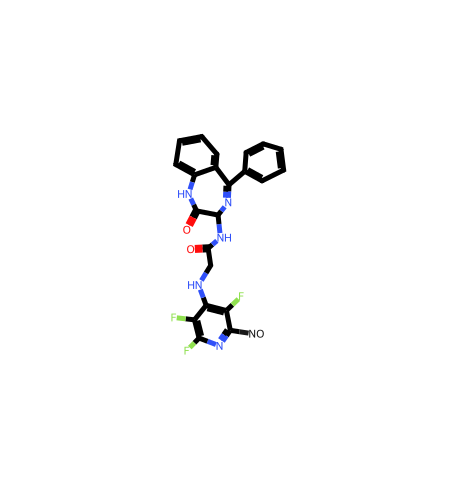 O=Nc1nc(F)c(F)c(NCC(=O)NC2N=C(c3ccccc3)c3ccccc3NC2=O)c1F